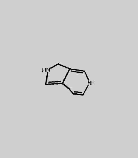 C1=CC2=CNCC2=CN1